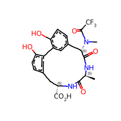 C[C@@H]1NC(=O)[C@@H](N(C)C(=O)C(F)(F)F)c2ccc(O)c(c2)-c2cc(ccc2O)C[C@@H](C(=O)O)NC1=O